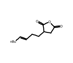 CCCC/C=C/CCC1CC(=O)OC1=O